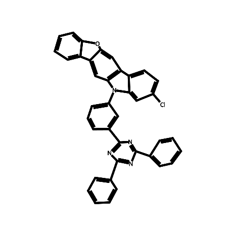 Clc1ccc2c3cc4oc5ccccc5c4cc3n(-c3cccc(-c4nc(-c5ccccc5)nc(-c5ccccc5)n4)c3)c2c1